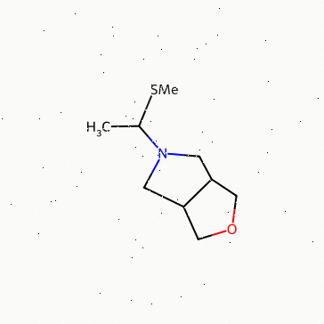 CSC(C)N1CC2COCC2C1